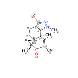 Cn1nc(Br)c2c1[C@@]1(C)C=C(C#N)C(=O)[C@]3(C)C[C@]31CC2